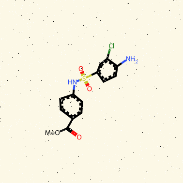 COC(=O)c1ccc(NS(=O)(=O)c2ccc(N)c(Cl)c2)cc1